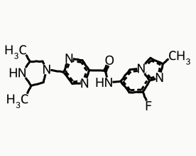 Cc1cn2cc(NC(=O)c3cnc(N4CC(C)NC(C)C4)cn3)cc(F)c2n1